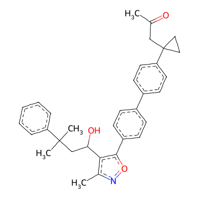 CC(=O)CC1(c2ccc(-c3ccc(-c4onc(C)c4C(O)CC(C)(C)c4ccccc4)cc3)cc2)CC1